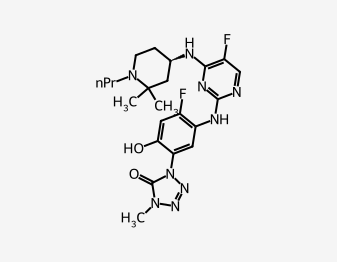 CCCN1CC[C@@H](Nc2nc(Nc3cc(-n4nnn(C)c4=O)c(O)cc3F)ncc2F)CC1(C)C